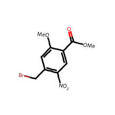 COC(=O)c1cc([N+](=O)[O-])c(CBr)cc1OC